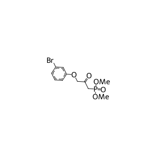 COP(=O)(CC(=O)COc1cccc(Br)c1)OC